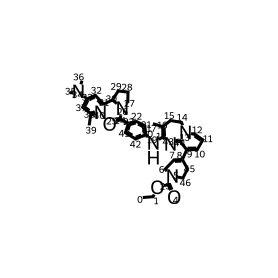 CCOC(=O)N1CC=C(C2=CC=CN3CCC(C)=C(Nc4ccc(C(=O)N5CCCC5c5cc(N(C)C)cc(C)n5)cc4)N=C23)CC1